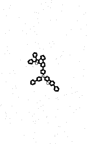 c1ccc(-c2ccc(N(c3ccc(-c4ccc5c6ccccc6c6c(-c7ccccc7)c(-c7ccccc7)oc6c5c4)cc3)c3ccc4c(c3)oc3cc(-c5ccccc5)ccc34)cc2)cc1